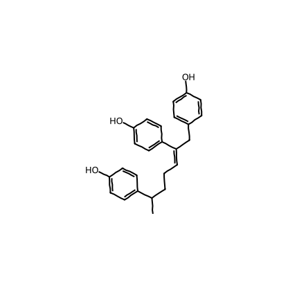 CC(CCC=C(Cc1ccc(O)cc1)c1ccc(O)cc1)c1ccc(O)cc1